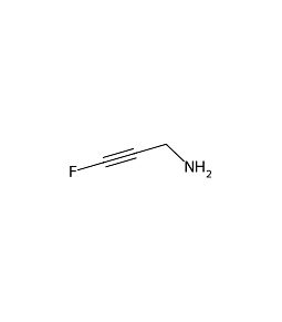 NCC#CF